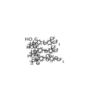 O=C(O)c1cc(COc2ccc(C(F)(F)F)c(C(F)(F)F)c2)ccc1NC(=O)C1CC1.O=C(O)c1cc(COc2ccc(Cl)c(C(F)(F)F)c2)ccc1NC(=O)C1CC1.O=C(O)c1cc(COc2ccc(OC(F)(F)F)cc2Cl)ccc1NC(=O)C1CC1